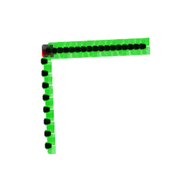 CO.ClCCl.ClCCl.ClCCl.ClCCl.ClCCl.ClCCl.ClCCl.ClCCl.ClCCl.ClCCl.ClCCl.ClCCl.ClCCl.ClCCl.ClCCl.ClCCl.ClCCl.ClCCl.ClCCl.ClCCl.ClCCl.ClCCl.ClCCl.ClCCl.ClCCl